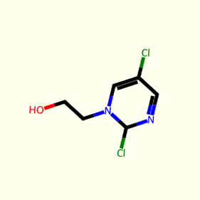 OCCN1C=C(Cl)C=NC1Cl